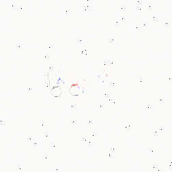 CN(C)C(=O)c1cn(CC2(O)CCN(C(=O)C34CCC(CC3)C4)CC23CCCC3)c(=O)cc1-c1ccccc1